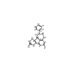 Cc1cc2c3c(c1)c1c(n3CC(c3ccccc3)CC2)CCN(C)C1